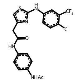 CC(=O)Nc1ccc(NC(=O)Cc2csc(Nc3ccc(Cl)c(C(F)(F)F)c3)n2)cc1